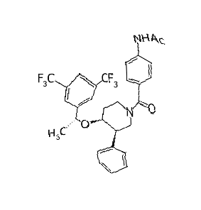 CC(=O)Nc1ccc(C(=O)N2CC[C@H](O[C@H](C)c3cc(C(F)(F)F)cc(C(F)(F)F)c3)[C@H](c3ccccc3)C2)cc1